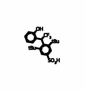 CC(C)(C)c1cc(S(=O)(=O)O)cc(C(C)(C)C)c1C(c1ccccc1O)C(F)(F)F